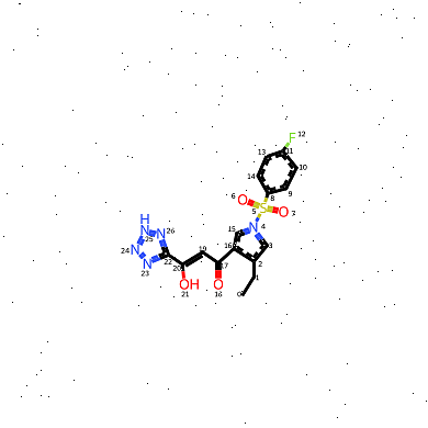 CCc1cn(S(=O)(=O)c2ccc(F)cc2)cc1C(=O)C=C(O)c1nn[nH]n1